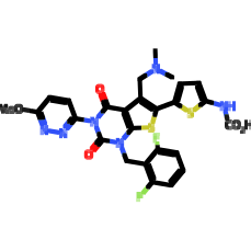 COc1ccc(-n2c(=O)c3c(CN(C)C)c(-c4ccc(NC(=O)O)s4)sc3n(Cc3c(F)cccc3F)c2=O)nn1